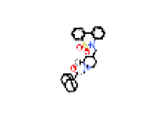 CO[C@H](CN1CCC(CN2c3ccccc3-c3ccccc3S2(=O)=O)CC1)C12CC3CC(CC(C3)C1)C2